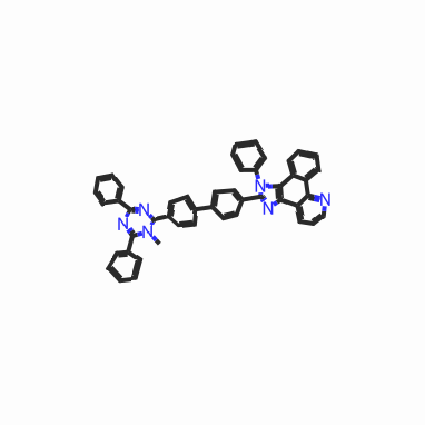 CN1C(c2ccccc2)=NC(c2ccccc2)=NC1c1ccc(-c2ccc(-c3nc4c5cccnc5c5ccccc5c4n3-c3ccccc3)cc2)cc1